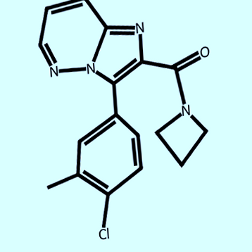 Cc1cc(-c2c(C(=O)N3CCC3)nc3cccnn23)ccc1Cl